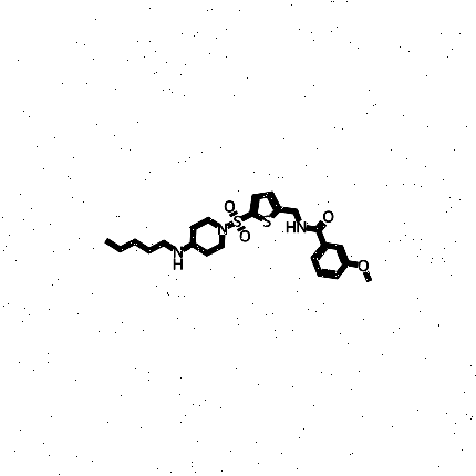 CCCCCNC1CCN(S(=O)(=O)c2ccc(CNC(=O)c3cccc(OC)c3)s2)CC1